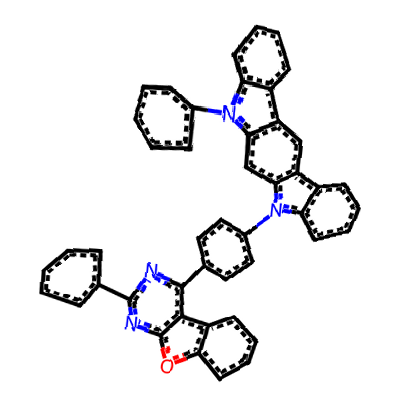 c1ccc(-c2nc(-c3ccc(-n4c5ccccc5c5cc6c7ccccc7n(-c7ccccc7)c6cc54)cc3)c3c(n2)oc2ccccc23)cc1